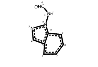 O=CNn1ncc2ccccc21